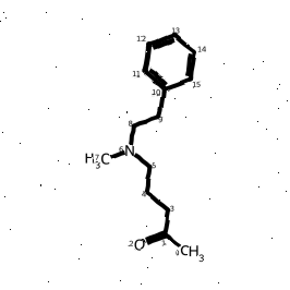 CC(=O)CCCN(C)CCc1ccccc1